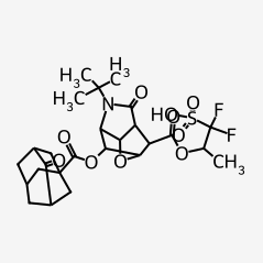 CC(OC(=O)C1C2OC3C1C(=O)N(C(C)(C)C)C3C2OC(=O)C12CC3CC(C1)C(=O)C(C3)C2)C(F)(F)S(=O)(=O)O